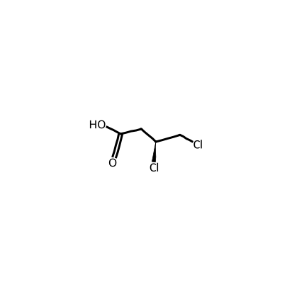 O=C(O)C[C@H](Cl)CCl